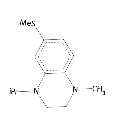 CSc1ccc2c(c1)N(C(C)C)CCN2C